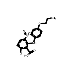 CCCOc1ccc(Nc2c([N+](=O)[O-])ccc(Cl)c2C(=O)O)cc1